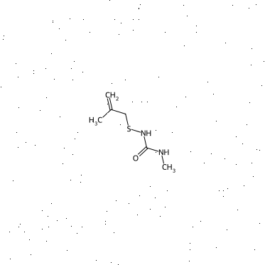 C=C(C)CSNC(=O)NC